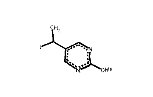 COc1ncc(C(C)I)cn1